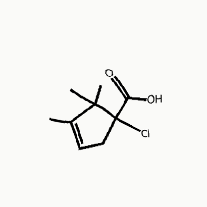 CC1=CCC(Cl)(C(=O)O)C1(C)C